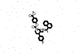 COC(=O)c1ccc(OC(=O)N2CCC(c3ccc(F)cc3)C(CN[C@H](C)c3cccc4ccccc34)C2)cc1